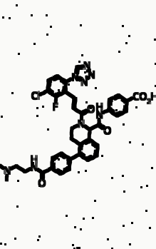 CN(C)CCNC(=O)c1ccc(-c2cccc3c2CCN(C(=O)C=Cc2c(-n4cnnn4)ccc(Cl)c2F)C3C(=O)Nc2ccc(C(=O)O)cc2)cc1